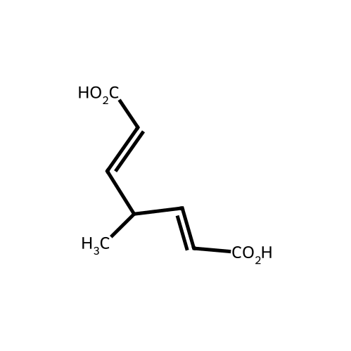 CC(C=CC(=O)O)C=CC(=O)O